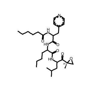 CCCCCC(=O)NC(Cc1ccncc1)C(=O)NC(CCCC)C(=O)NC(CC(C)C)C(=O)[C@@]1(C)CO1